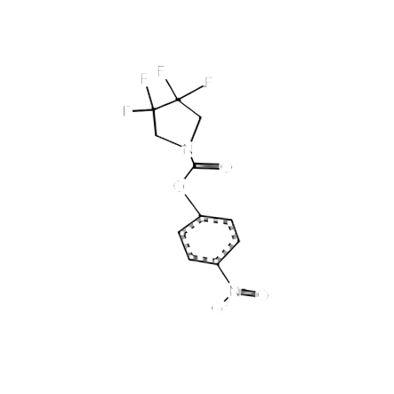 O=C(Oc1ccc([N+](=O)[O-])cc1)N1CC(F)(F)C(F)(F)C1